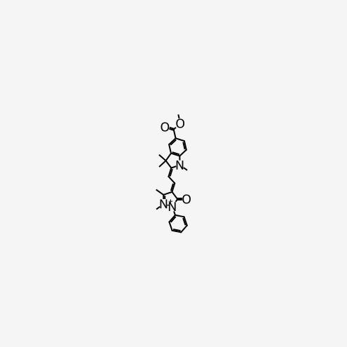 COC(=O)c1ccc2c(c1)C(C)(C)/C(=C/C=C1/C(=O)N(c3ccccc3)[N+](C)=C1C)N2C